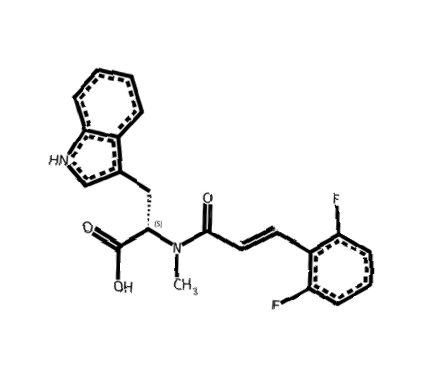 CN(C(=O)C=Cc1c(F)cccc1F)[C@@H](Cc1c[nH]c2ccccc12)C(=O)O